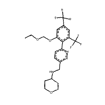 CCOCOc1cc(C(F)(F)F)cc(C(F)(F)F)c1-c1ccc(CNC2CCOCC2)nn1